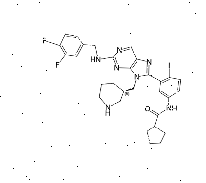 O=C(Nc1ccc(I)c(-c2nc3cnc(NCc4ccc(F)c(F)c4)nc3n2C[C@@H]2CCCNC2)c1)C1CCCC1